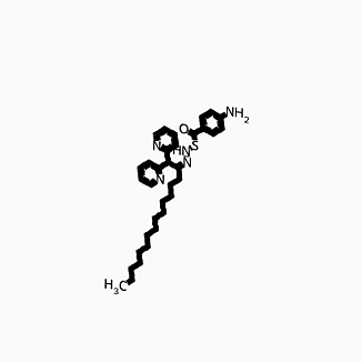 CCCCCCCCCCCCCCC(=NNSC(=O)c1ccc(N)cc1)C(c1ccccn1)c1ccccn1